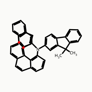 CC1(C)c2ccccc2-c2ccc(N(c3ccccc3)c3cccc4ccc5ccc6c7ccccc7ccc6c5c34)cc21